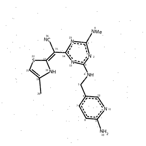 CNc1nc(NCc2ccc(N)nc2)nc(C(C#N)=C2NC(C)=CS2)n1